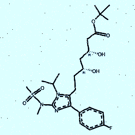 CC(C)n1c(N(C)S(C)(=O)=O)nc(-c2ccc(F)cc2)c1CC[C@@H](O)C[C@@H](O)CC(=O)OC(C)(C)C